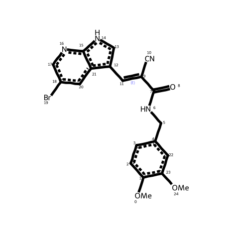 COc1ccc(CNC(=O)/C(C#N)=C/c2c[nH]c3ncc(Br)cc23)cc1OC